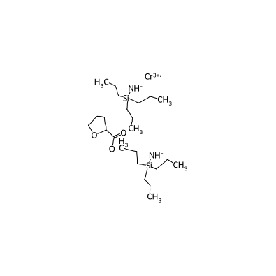 CCC[Si]([NH-])(CCC)CCC.CCC[Si]([NH-])(CCC)CCC.O=C([O-])C1CCCO1.[Cr+3]